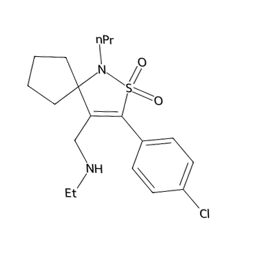 CCCN1C2(CCCC2)C(CNCC)=C(c2ccc(Cl)cc2)S1(=O)=O